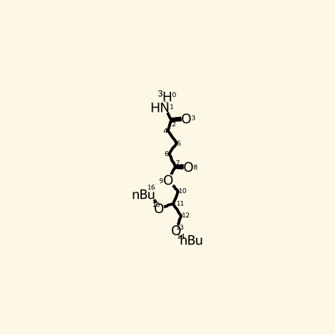 [3H]NC(=O)CCCC(=O)OCC(COCCCC)OCCCC